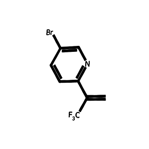 C=C(c1ccc(Br)cn1)C(F)(F)F